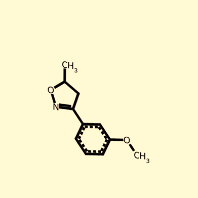 COc1cccc(C2=NOC(C)C2)c1